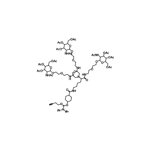 C#CCCOP(OC1CCC(C(=O)NCCCCC(C(=O)NCCOCCOC2OC(COC(C)=O)C(OC(C)=O)C(OC(C)=O)C2NC(C)=O)N(CC(=O)NCCOCCOC2OC(COC(C)=O)C(OC(C)=O)C(OC(C)=O)C2NC(C)=O)CC(=O)NCCOCCOC2OC(COC(C)=O)C(OC(C)=O)C(OC(C)=O)C2NC(C)=O)CC1)N(C(C)C)C(C)C